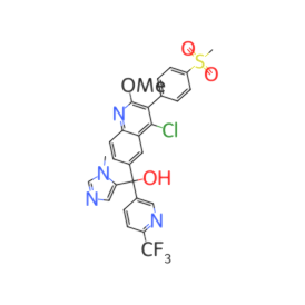 COc1nc2ccc(C(O)(c3ccc(C(F)(F)F)nc3)c3cncn3C)cc2c(Cl)c1-c1ccc(S(C)(=O)=O)cc1